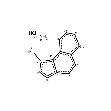 CCCn1ccc2ccc3ncccc3c21.Cl.N